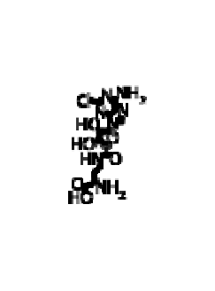 Nc1nc(Cl)nc2c1ncn2[C@@H]1O[C@H](C(=O)NCC[C@H](N)C(=O)O)[C@@H](O)[C@H]1O